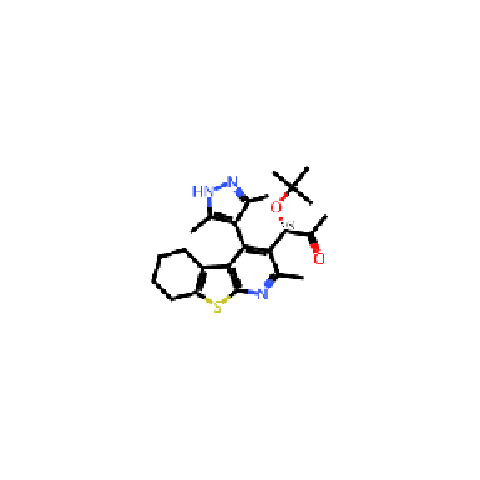 CC(=O)[C@@H](OC(C)(C)C)c1c(C)nc2sc3c(c2c1-c1c(C)n[nH]c1C)CCCC3